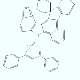 C1=CC2=C(CC1)C1(CCCCC1)c1c2c2ccccc2c2c1c1c3ccccc3ccc1n2-c1nc(-c2ccccc2)cc(-c2ccccc2)n1